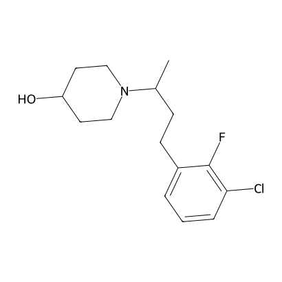 CC(CCc1cccc(Cl)c1F)N1CCC(O)CC1